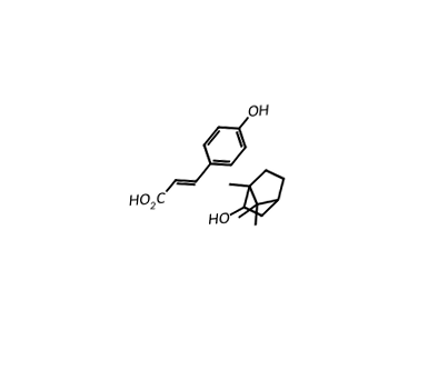 CC1(C)C2CCC1(C)C(O)C2.O=C(O)C=Cc1ccc(O)cc1